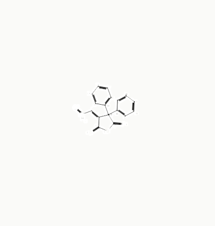 O=[PH2]C=C1C(=O)OC(=O)C1(c1ccccc1)c1ccccc1